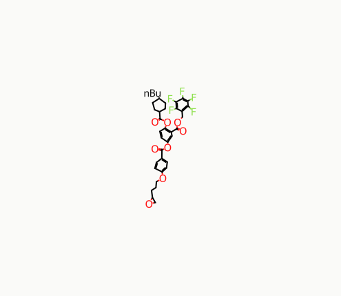 CCCCC1CCC(C(=O)Oc2ccc(OC(=O)c3ccc(OCCCC4CO4)cc3)cc2C(=O)OCc2c(F)c(F)c(F)c(F)c2F)CC1